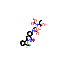 CCC(C(=O)O)N(C(=O)OC)[C@H]1CN(c2ccc3cc(-c4ccccc4C(F)(F)F)[nH]c(=O)c3c2)C(=O)O1